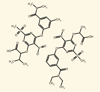 CCN(CC)C(=O)c1cccc(Oc2nc(S(C)(=O)=O)nc(OC(C)C(=O)O)c2[N+](=O)[O-])c1.Cc1cc(Oc2nc(S(C)(=O)=O)nc(OC(C(=O)O)C(C)C)c2[N+](=O)[O-])cc(C(=O)N(C)C)c1